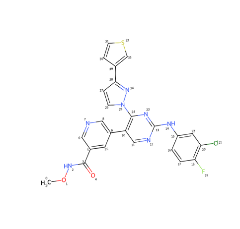 CONC(=O)c1cncc(-c2cnc(Nc3ccc(F)c(Cl)c3)nc2-n2ccc(-c3ccsc3)n2)c1